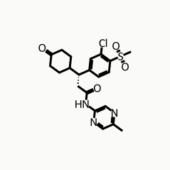 Cc1cnc(NC(=O)C[C@@H](c2ccc(S(C)(=O)=O)c(Cl)c2)C2CCC(=O)CC2)cn1